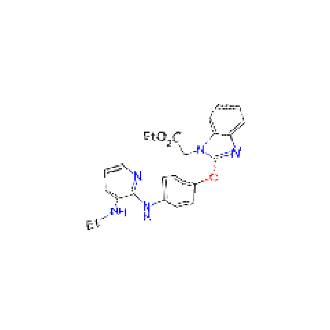 CCNc1cccnc1Nc1ccc(Oc2nc3ccccc3n2CC(=O)OCC)cc1